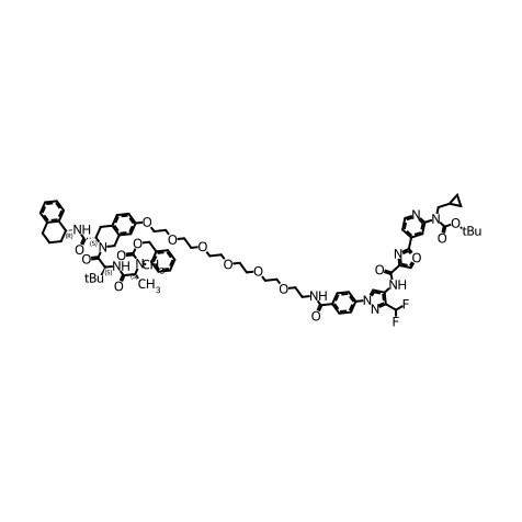 C[C@@H](C(=O)N[C@H](C(=O)N1Cc2cc(OCCOCCOCCOCCOCCOCCNC(=O)c3ccc(-n4cc(NC(=O)c5coc(-c6ccnc(N(CC7CC7)C(=O)OC(C)(C)C)c6)n5)c(C(F)F)n4)cc3)ccc2C[C@H]1C(=O)N[C@@H]1CCCc2ccccc21)C(C)(C)C)N(C)C(=O)OCc1ccccc1